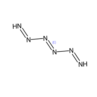 N=N/N=N/N=N